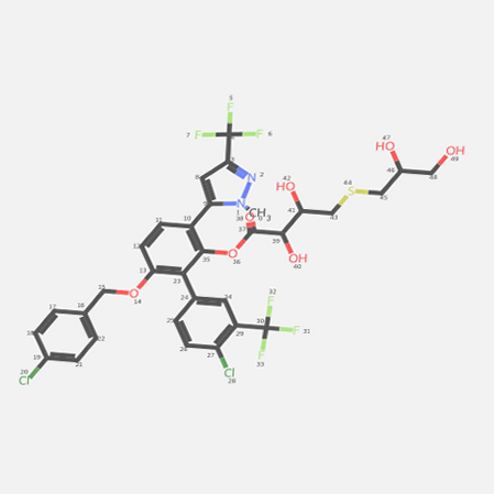 Cn1nc(C(F)(F)F)cc1-c1ccc(OCc2ccc(Cl)cc2)c(-c2ccc(Cl)c(C(F)(F)F)c2)c1OC(=O)C(O)C(O)CSCC(O)CO